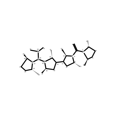 C=C(P1[C@H](C)CC[C@H]1C)P1[C@H](C)CC(C2C[C@@H](C)P(B(N(C)C)P3[C@H](C)CC[C@H]3C)[C@@H]2C)[C@H]1C